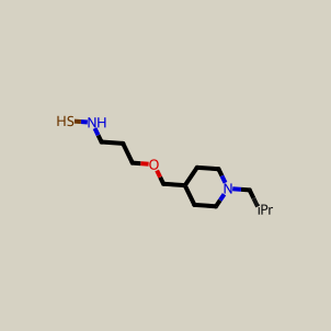 CC(C)CN1CCC(COCCCNS)CC1